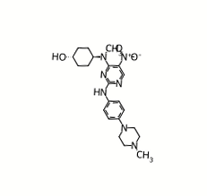 CN1CCN(c2ccc(Nc3ncc([N+](=O)[O-])c(N(C)[C@H]4CC[C@H](O)CC4)n3)cc2)CC1